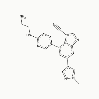 Cn1cc(-c2cc(-c3ccc(NCCN)nc3)n3c(C#N)cnc3c2)cn1